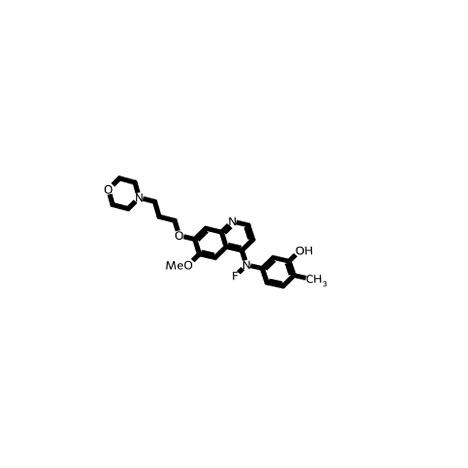 COc1cc2c(N(F)c3ccc(C)c(O)c3)ccnc2cc1OCCCN1CCOCC1